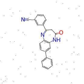 N#Cc1cccc(C2=Nc3ccc(-c4ccccc4)cc3NC(=O)C2)c1